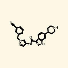 N#Cc1cccc(Cn2cc(NC(=O)c3n[nH]c4cc(C5CCNCC5)ccc34)cn2)c1